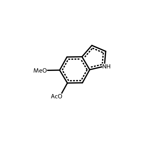 COc1cc2cc[nH]c2cc1OC(C)=O